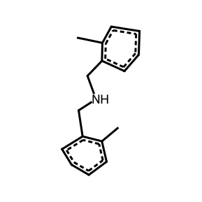 Cc1ccccc1CNCc1ccccc1C